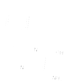 Nc1cnc(Cc2ccccc2)nc1O